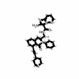 C[C@@H](NC(=O)c1c(N)nc2cccnn12)c1cc2cccc(C#Cc3ccncc3)c2c(=O)n1-c1ccccc1